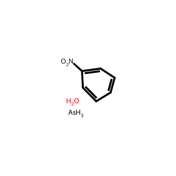 O.O=[N+]([O-])c1ccccc1.[AsH3]